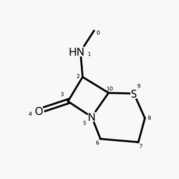 CNC1C(=O)N2CCCSC12